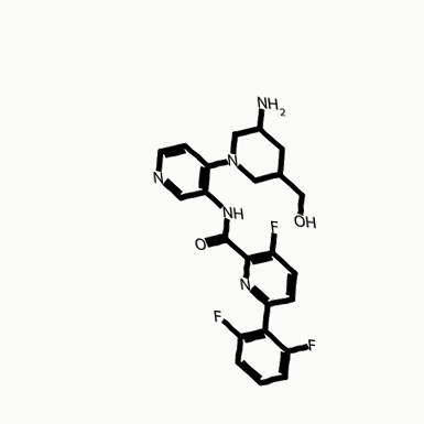 NC1CC(CO)CN(c2ccncc2NC(=O)c2nc(-c3c(F)cccc3F)ccc2F)C1